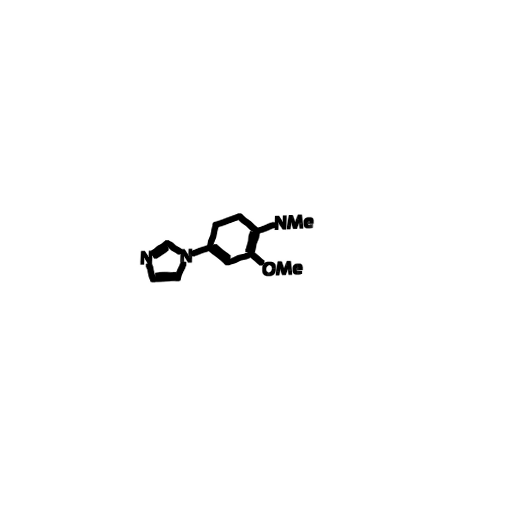 CNC1=C(OC)C=C(n2ccnc2)CC1